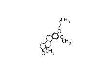 CCCCOc1cc2c(cc1OC)C1CC[C@]3(C)C(=O)CCC3C1CC2